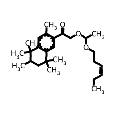 CC/C=C\CCOC(C)OCC(=O)c1cc2c(cc1C)C(C)(C)C(C)CC2(C)C